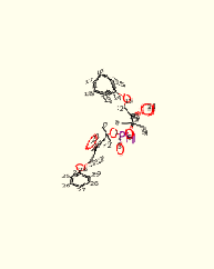 CC(C)(O[PH](=O)OC(C)(C)C(=O)COc1ccccc1)C(=O)COc1ccccc1